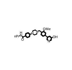 CCCNC(=O)c1ccc(N2CCN(Cc3ccc(-c4cncc(O)c4)cc3OC)CC2)cc1